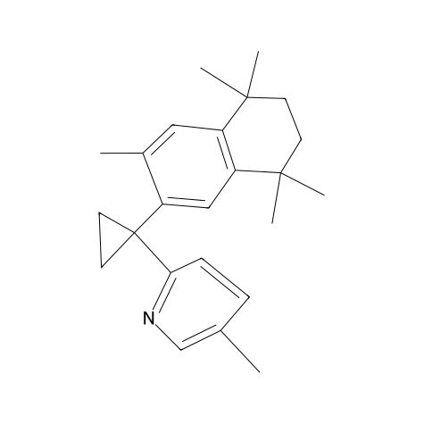 Cc1ccc(C2(c3cc4c(cc3C)C(C)(C)CCC4(C)C)CC2)nc1